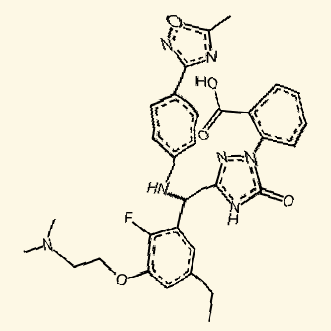 CCc1cc(OCCN(C)C)c(F)c(C(Nc2ccc(-c3noc(C)n3)cc2)c2nn(-c3ccccc3C(=O)O)c(=O)[nH]2)c1